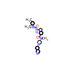 Cc1ccc(NC(=O)NC2CCc3ccc(C(=O)N(C)C4CCN(c5ccc6cnccc6c5)CC4)cc32)c(C)c1